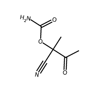 CC(=O)C(C)(C#N)OC(N)=O